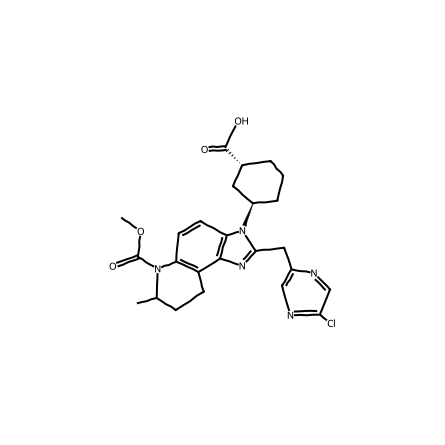 COC(=O)N1c2ccc3c(nc(Cc4cnc(Cl)cn4)n3[C@@H]3CCC[C@@H](C(=O)O)C3)c2CCC1C